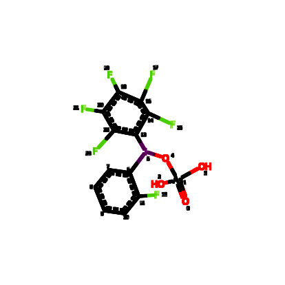 O=[As](O)(O)OI(c1ccccc1F)c1c(F)c(F)c(F)c(F)c1F